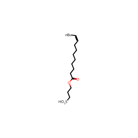 CCCC/C=C\CCCCCCCC(=O)OCCCS(=O)(=O)O